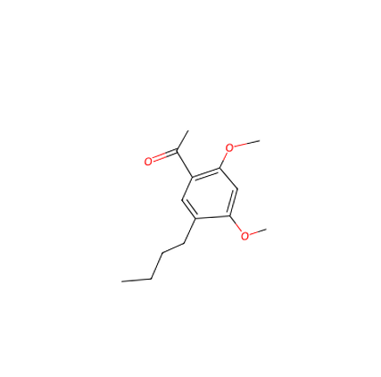 CCCCc1cc(C(C)=O)c(OC)cc1OC